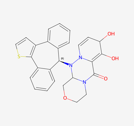 O=C1C2=C(O)C(O)C=CN2N([C@@H]2c3ccccc3-c3ccsc3-c3ccccc32)C2COCCN12